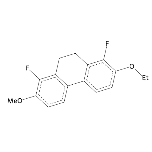 CCOc1ccc2c(c1F)CCc1c-2ccc(OC)c1F